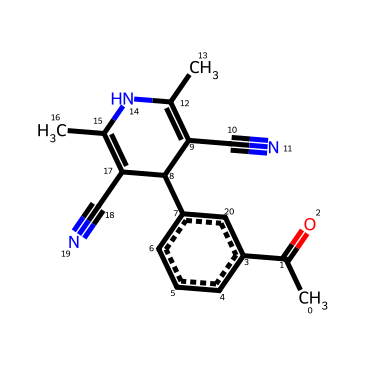 CC(=O)c1cccc(C2C(C#N)=C(C)NC(C)=C2C#N)c1